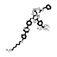 CCCCCCCOc1ccc(-c2cnc(-c3ccc(C[C@H](NC(=O)c4ccc(C(C)(C)C)cc4)C(=O)N[C@@H](CC(=O)OCc4ccccc4)C(=O)O)cc3)nc2)cc1